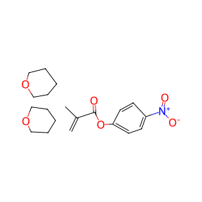 C1CCOCC1.C1CCOCC1.C=C(C)C(=O)Oc1ccc([N+](=O)[O-])cc1